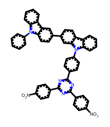 O=[N+]([O-])c1ccc(-c2nc(-c3ccc(-n4c5ccccc5c5ccc(-c6ccc7c(c6)c6ccccc6n7-c6ccccc6)cc54)cc3)nc(-c3ccc([N+](=O)[O-])cc3)n2)cc1